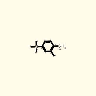 Cc1cc([Si](C)(C)C)ccc1[SiH3]